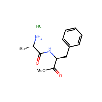 CCC(C)[C@H](N)C(=O)N[C@@H](Cc1ccccc1)C(=O)OC.Cl